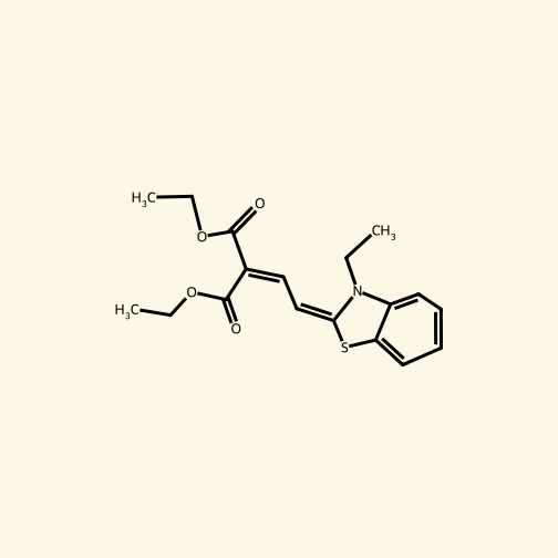 CCOC(=O)C(=CC=C1Sc2ccccc2N1CC)C(=O)OCC